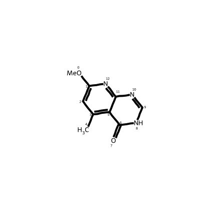 COc1cc(C)c2c(=O)[nH]cnc2n1